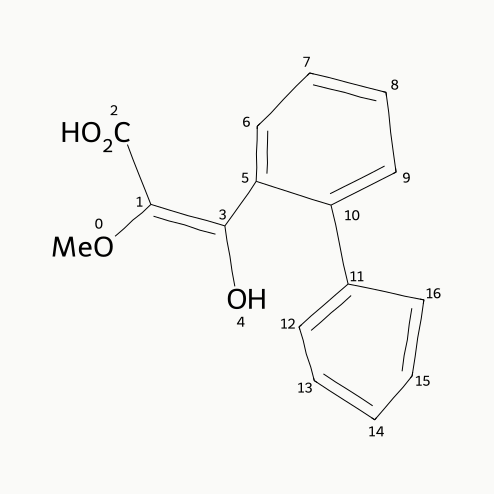 COC(C(=O)O)=C(O)c1ccccc1-c1ccccc1